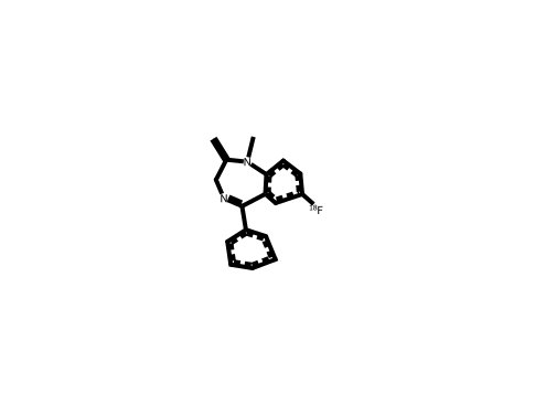 C=C1CN=C(c2ccccc2)c2cc([18F])ccc2N1C